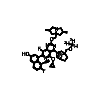 [2H]C([2H])([2H])OCC12CCC(CN(c3nc(OCC45CC(=C)CN4CC(=C)C5)nc4c(F)c(-c5cc(O)cc6ccc(F)c(C#C)c56)nc(OC5CC5)c34)C1)N2